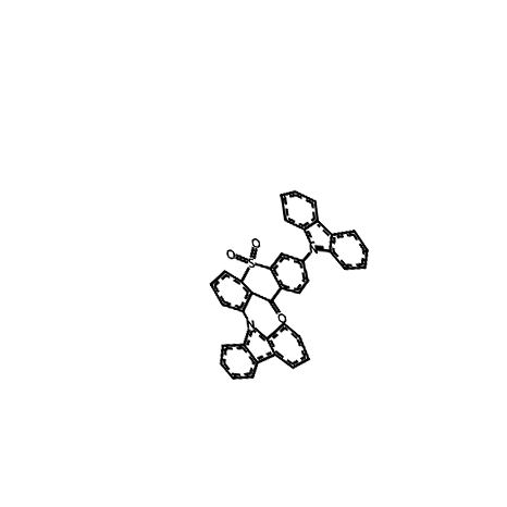 O=C1c2ccc(-n3c4ccccc4c4ccccc43)cc2S(=O)(=O)c2cccc(-n3c4ccccc4c4ccccc43)c21